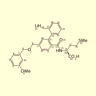 COc1cccc(COCc2ccc(C(=O)N[C@@H](CCSC)C(=O)O)c(-c3ccccc3C)c2)c1.[LiH]